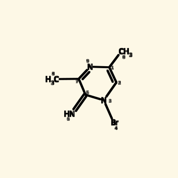 Cc1cn(Br)c(=N)c(C)n1